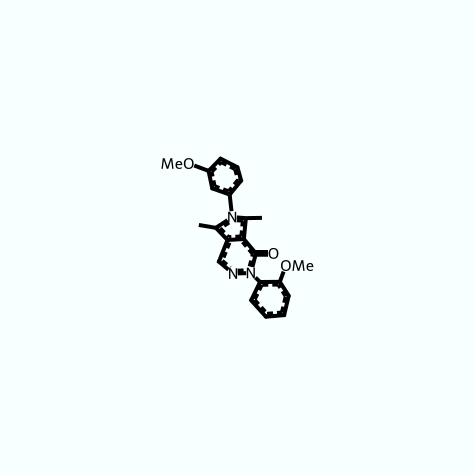 COc1cccc(-n2c(C)c3cnn(-c4ccccc4OC)c(=O)c3c2C)c1